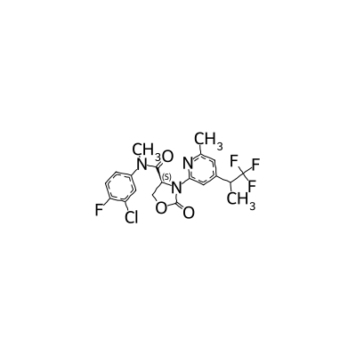 Cc1cc(C(C)C(F)(F)F)cc(N2C(=O)OC[C@H]2C(=O)N(C)c2ccc(F)c(Cl)c2)n1